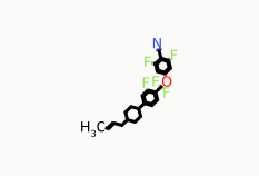 CC=CCC1CCC(c2ccc(C(F)(F)Oc3cc(F)c(C#N)c(F)c3)c(F)c2)CC1